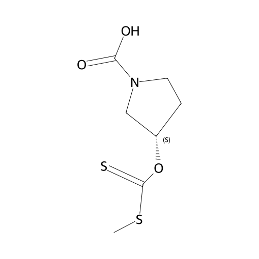 CSC(=S)O[C@H]1CCN(C(=O)O)C1